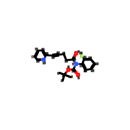 CC(C)(C)OC(=O)N(C(=O)CCC#Cc1ccccn1)c1ccccc1F